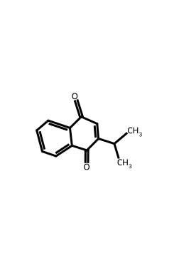 CC(C)C1=CC(=O)c2ccccc2C1=O